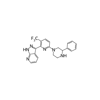 FC(F)(F)c1ccc(N2CCNC(c3ccccc3)C2)nc1-c1n[nH]c2ncccc12